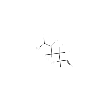 CC(O)C(O)C(C)(O)C(C)(O)C(C)(O)C=O